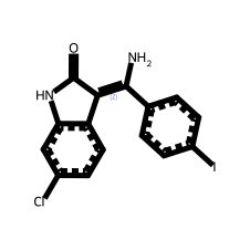 N/C(=C1\C(=O)Nc2cc(Cl)ccc21)c1ccc(I)cc1